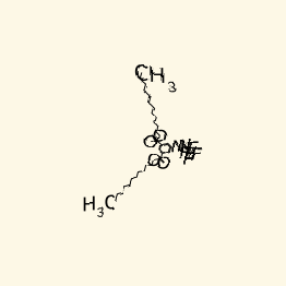 CCCCCCCCCCCCOC(=O)c1cc([N+]#N)cc(C(=O)OCCCCCCCCCCCC)c1.F[B-](F)(F)F